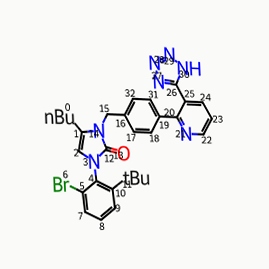 CCCCc1cn(-c2c(Br)cccc2C(C)(C)C)c(=O)n1Cc1ccc(-c2ncccc2-c2nnn[nH]2)cc1